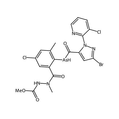 COC(=O)NN(C)C(=O)c1cc(Cl)cc(C)c1[AsH]C(=O)c1cc(Br)nn1-c1ncccc1Cl